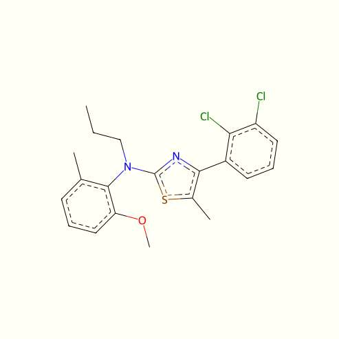 CCCN(c1nc(-c2cccc(Cl)c2Cl)c(C)s1)c1c(C)cccc1OC